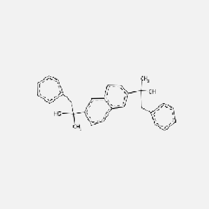 CC(O)(Cc1ccccc1)c1ccc2cc(C(C)(O)Cc3ccccc3)ccc2c1